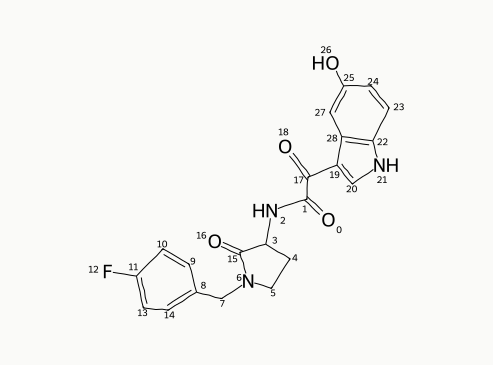 O=C(NC1CCN(Cc2ccc(F)cc2)C1=O)C(=O)c1c[nH]c2ccc(O)cc12